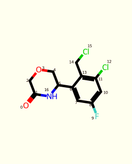 O=C1COCC(c2cc(F)cc(Cl)c2CCl)N1